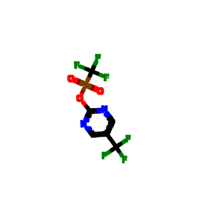 O=S(=O)(Oc1ncc(C(F)(F)F)cn1)C(F)(F)F